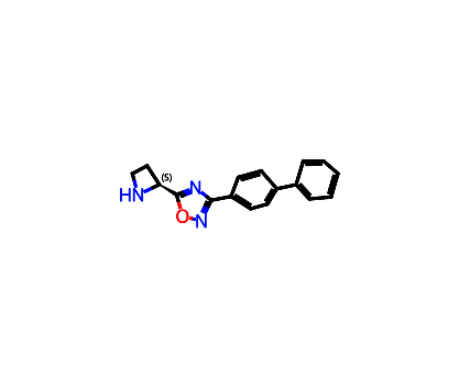 c1ccc(-c2ccc(-c3noc([C@@H]4CCN4)n3)cc2)cc1